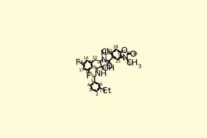 CCc1cccc(CNC[C@H](O)[C@@H](Cc2cc(F)cc(F)c2)NC(=O)c2cc3c(cc2Cl)oc(=O)n3C)c1